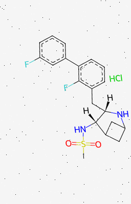 CS(=O)(=O)N[C@H]1C2CC(C2)N[C@H]1Cc1cccc(-c2cccc(F)c2)c1F.Cl